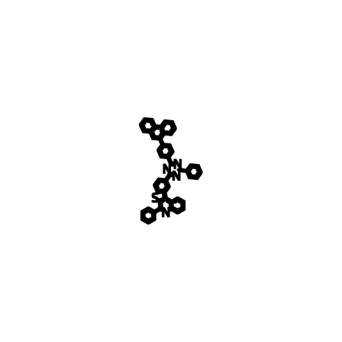 c1ccc(-c2nc(-c3ccc(-c4cc5ccccc5c5ccccc45)cc3)nc(-c3ccc4sc5c(-c6ccccc6)nc6ccccc6c5c4c3)n2)cc1